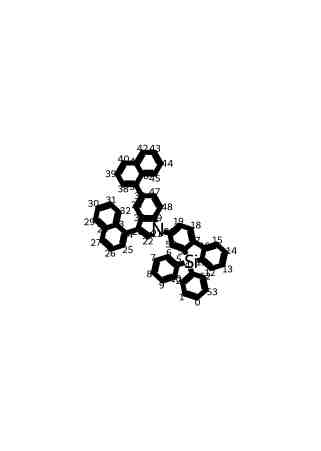 c1ccc([Si]2(c3ccccc3)c3ccccc3-c3ccc(-n4cc(-c5cccc6ccccc56)c5cc(-c6cccc7ccccc67)ccc54)cc32)cc1